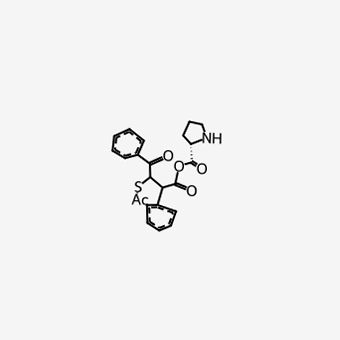 CC(=O)SC(C(=O)c1ccccc1)C(C(=O)OC(=O)[C@@H]1CCCN1)c1ccccc1